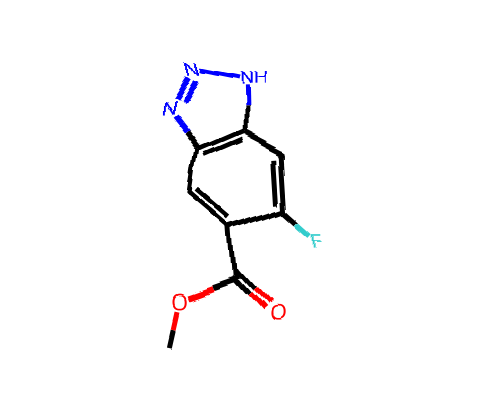 COC(=O)c1cc2nn[nH]c2cc1F